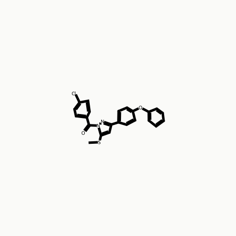 CSc1cc(-c2ccc(Oc3ccccc3)cc2)nn1C(=O)c1ccc(Cl)cc1